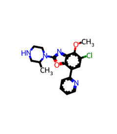 COc1c(Cl)cc(-c2ccccn2)c2oc(N3CCNCC3C)nc12